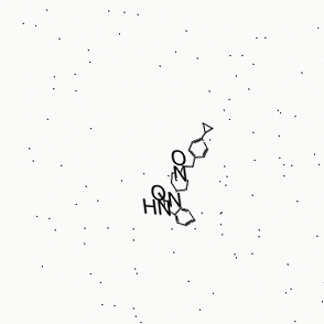 O=C(Cc1ccc(C2CC2)cc1)N1CCC(n2c(=O)[nH]c3ccccc32)CC1